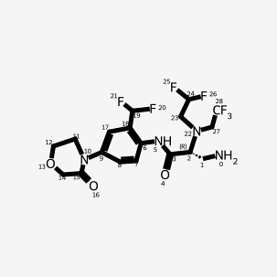 NC[C@H](C(=O)Nc1ccc(N2CCOCC2=O)cc1C(F)F)N(CC(F)F)CC(F)(F)F